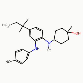 CCN(c1ccc(C(C)(C)CC(=O)O)cc1Nc1ccc(C#N)cc1)C1CCC(C)(O)CC1